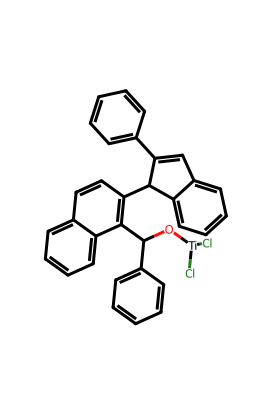 [Cl][Ti]([Cl])[O]C(c1ccccc1)c1c(C2C(c3ccccc3)=Cc3ccccc32)ccc2ccccc12